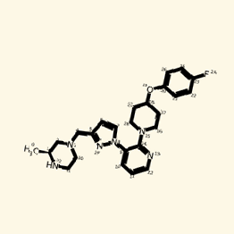 C[C@H]1CN(Cc2ccn(-c3cccnc3N3CCC(Oc4ccc(F)cc4)CC3)n2)CCN1